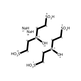 O=S(=O)(O)CCN(O)CCS(=O)(=O)O.O=S(=O)(O)CCN(O)CCS(=O)(=O)O.[NaH].[NaH]